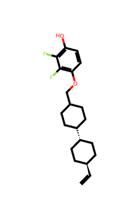 C=C[C@H]1CC[C@H](C2CCC(COc3ccc(O)c(F)c3F)CC2)CC1